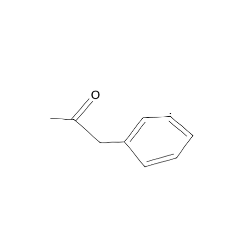 CC(=O)Cc1c[c]ccc1